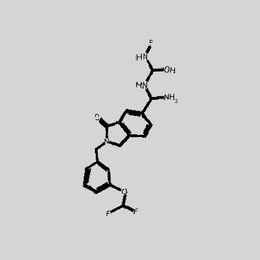 NC(NC(O)NF)c1ccc2c(c1)C(=O)N(Cc1cccc(OC(F)F)c1)C2